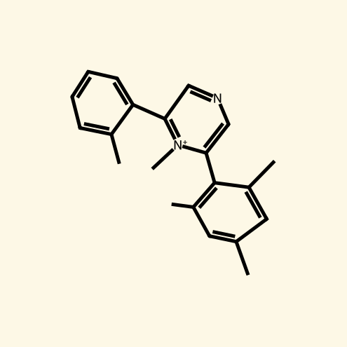 Cc1cc(C)c(-c2cncc(-c3ccccc3C)[n+]2C)c(C)c1